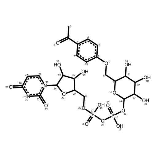 CC(=O)c1ccc(OCC2OC(OP(=O)(O)OP(=O)(O)OCC3OC(n4ccc(=O)[nH]c4=O)C(O)C3O)C(O)C(O)C2O)cc1